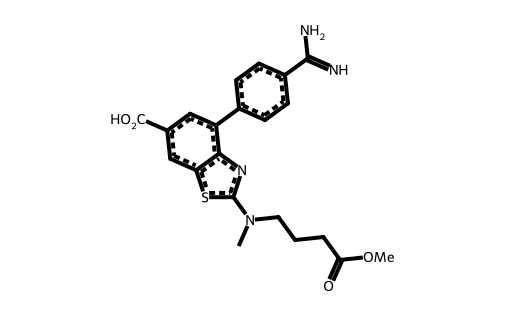 COC(=O)CCCN(C)c1nc2c(-c3ccc(C(=N)N)cc3)cc(C(=O)O)cc2s1